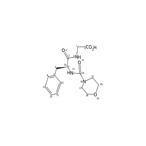 O=C(O)CNC(=O)[C@H](Cc1ccccc1)NC(=O)N1CCOCC1